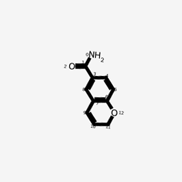 NC(=O)c1ccc2c(c1)C=CCO2